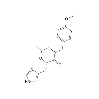 COc1ccc(CN2C[C@@H](C)O[C@@H](Cc3c[nH]cn3)C2=O)cc1